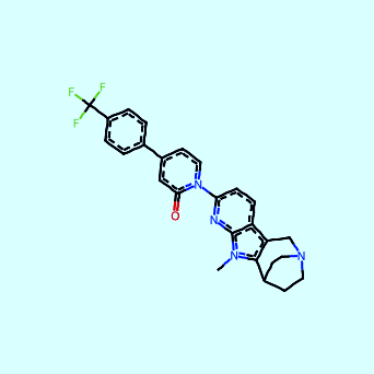 Cn1c2c(c3ccc(-n4ccc(-c5ccc(C(F)(F)F)cc5)cc4=O)nc31)CN1CCC2CC1